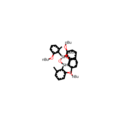 CCCCOc1cccc(C)c1[SiH](O[SiH](c1c(C)cccc1OCCCC)c1c(C)cccc1OCCCC)c1c(C)cccc1OCCCC